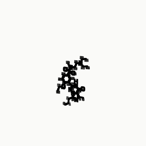 CCCc1nc(C)c2c(=O)[nH]c(-c3cc(S(=O)(=O)N(C)CCN(CC)CC)ccc3OCC)nn12